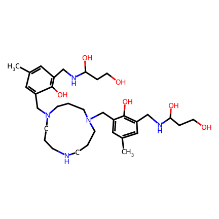 Cc1cc(CNC(O)CCO)c(O)c(CN2CCCNCCCN(Cc3cc(C)cc(CNC(O)CCO)c3O)CCC2)c1